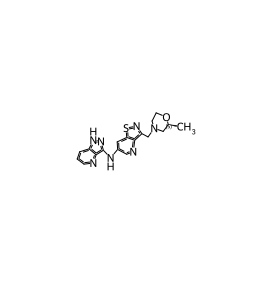 C[C@H]1CN(Cc2nsc3cc(Nc4n[nH]c5cccnc45)cnc23)CCO1